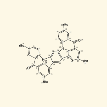 CC(C)(C)c1ccc2c(c1)c(=O)c1cc(C(C)(C)C)cc3c4cc5c6cc(C(C)(C)C)cc7c(=O)c8cc(C(C)(C)C)ccc8n(c5cc4n2c13)c76